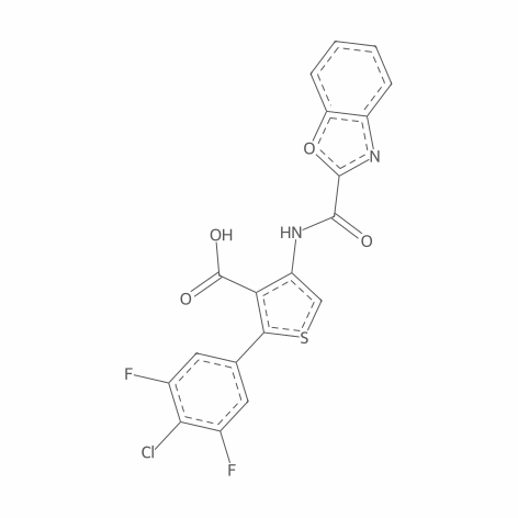 O=C(Nc1csc(-c2cc(F)c(Cl)c(F)c2)c1C(=O)O)c1nc2ccccc2o1